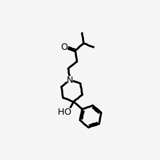 CC(C)C(=O)CCN1CCC(O)(c2ccccc2)CC1